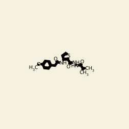 COc1ccc(CC(=O)Nc2ccsc2C(=O)NNC(=O)C(C)C)cc1